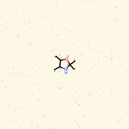 CC1NC(C)(C)OC1C